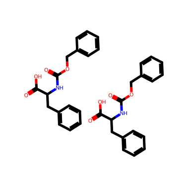 O=C(NC(Cc1ccccc1)C(=O)O)OCc1ccccc1.O=C(NC(Cc1ccccc1)C(=O)O)OCc1ccccc1